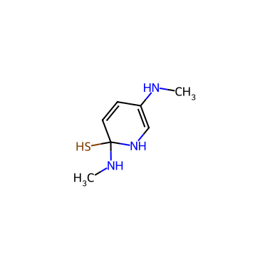 CNC1=CNC(S)(NC)C=C1